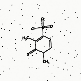 CC1=C(S(=O)(=O)Cl)C=CC(C)C1=S